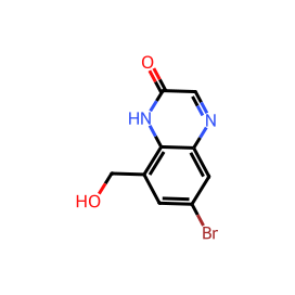 O=c1cnc2cc(Br)cc(CO)c2[nH]1